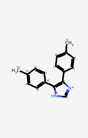 Cc1ccc(-c2nc[nH]c2-c2ccc(C)cc2)cc1